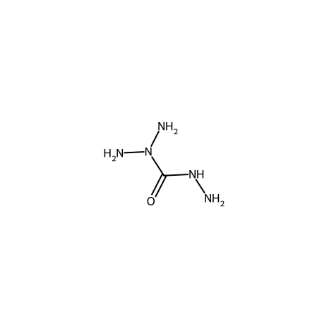 NNC(=O)N(N)N